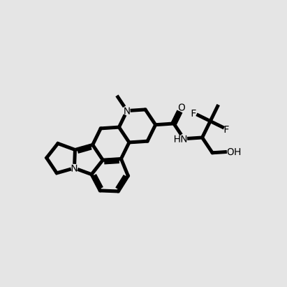 CN1CC(C(=O)NC(CO)C(C)(F)F)CC2c3cccc4c3c(c3n4CCC3)CC21